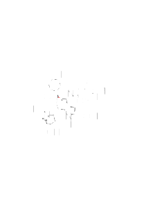 Cc1cc(-c2cnc(N(Cc3c(F)ccc4c3CCO4)C(=O)OC(C)(C)C)n3cc(C(O)C(F)(F)F)nc23)n(C)n1